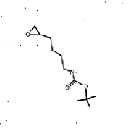 CC(C)(C)OC(=O)NCCCCC1CO1